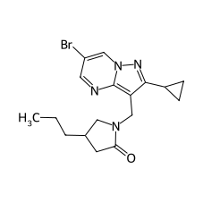 CCCC1CC(=O)N(Cc2c(C3CC3)nn3cc(Br)cnc23)C1